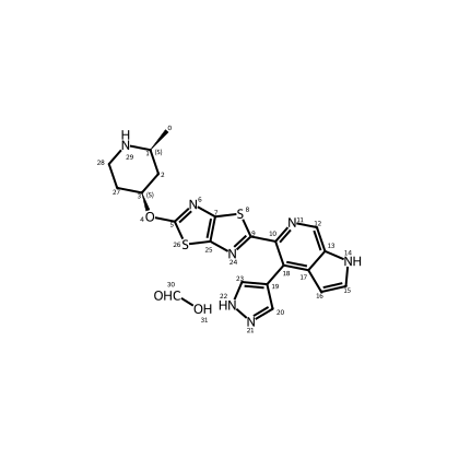 C[C@H]1C[C@@H](Oc2nc3sc(-c4ncc5[nH]ccc5c4-c4cn[nH]c4)nc3s2)CCN1.O=CO